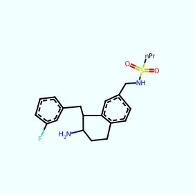 CCCS(=O)(=O)NCc1ccc2c(c1)C(Cc1cccc(F)c1)C(N)CC2